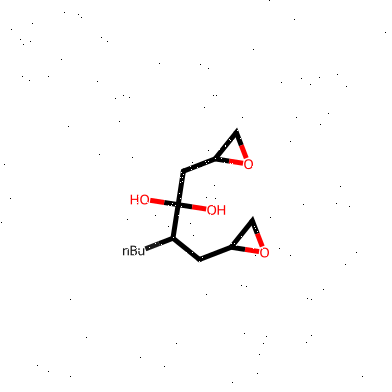 CCCCC(CC1CO1)C(O)(O)CC1CO1